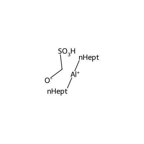 CCCCCC[CH2][Al+][CH2]CCCCCC.O=S(=O)(O)C[O-]